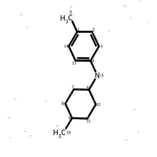 Cc1ccc([N]C2CCC(C)CC2)cc1